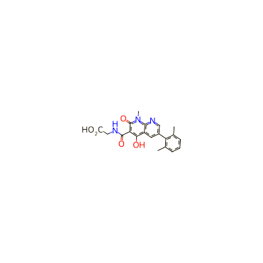 Cc1cccc(C)c1-c1cnc2c(c1)c(O)c(C(=O)NCC(=O)O)c(=O)n2C